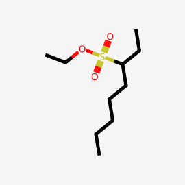 CCCCCC(CC)S(=O)(=O)OCC